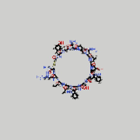 CCCC[C@H]1C(=O)N(C)[C@@H](CCCC)C(=O)N[C@@H](CCCNCN)C(=O)N[C@H](C(N)=O)CSCC(=O)N[C@@H](Cc2ccc(O)cc2)C(=O)N(C)[C@@H](C)C(=O)N[C@@H](CC(N)=O)C(=O)N2CCC[C@H]2C(=O)N[C@@H](CC(N)=O)C(=O)N[C@@H](CC(C)C)C(=O)N2C[C@H](O)C[C@H]2C(=O)N[C@@H]([C@@H](C)c2c[nH]c3ccccc23)C(=O)N[C@@H](CO)C(=O)N[C@@H](Cc2c[nH]c3ccccc23)C(=O)N1C